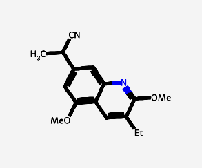 CCc1cc2c(OC)cc(C(C)C#N)cc2nc1OC